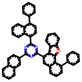 c1ccc(-c2ccc(-c3nc(-c4ccc5ccccc5c4)nc(-c4cc5cccc(-c6ccccc6)c5c5oc6ccccc6c45)n3)c3ccccc23)cc1